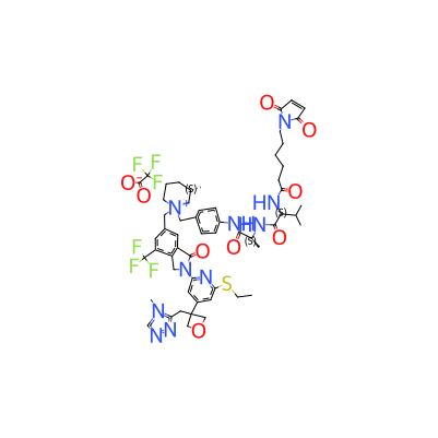 CCSc1cc(C2(Cc3nncn3C)COC2)cc(N2Cc3c(cc(C[N+]4(Cc5ccc(NC(=O)[C@H](C)NC(=O)[C@@H](NC(=O)CCCCCN6C(=O)C=CC6=O)C(C)C)cc5)CCC[C@H](C)C4)cc3C(F)(F)F)C2=O)n1.O=C([O-])C(F)(F)F